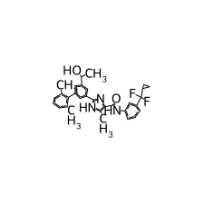 Cc1cccc(C)c1-c1cc(-c2nc(C(=O)Nc3cccc(C(F)(F)C4CC4)c3)c(C)[nH]2)cc(C(C)O)c1